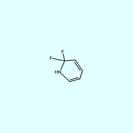 FC1(F)C=CC=CN1